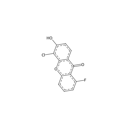 O=c1c2ccc(O)c(Cl)c2oc2cccc(F)c12